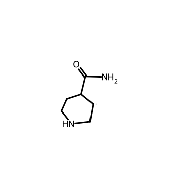 NC(=O)C1[CH]CNCC1